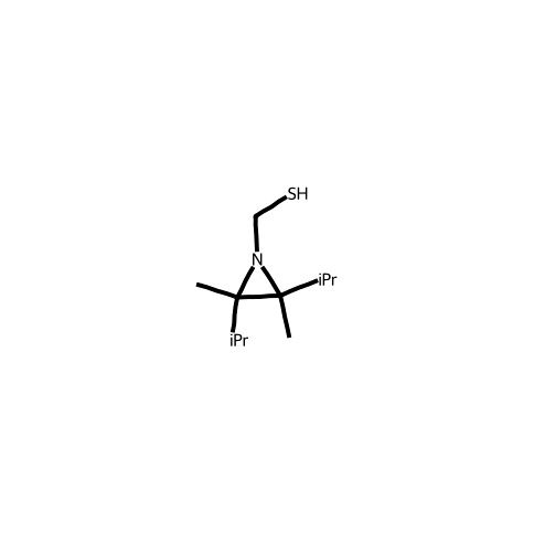 CC(C)C1(C)N(CS)C1(C)C(C)C